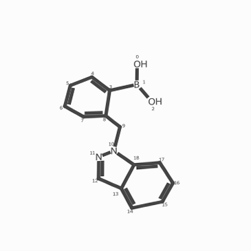 OB(O)c1ccccc1Cn1ncc2ccccc21